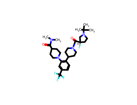 CN(C)C(=O)C1CCN(c2cc(C(F)(F)F)ccc2C2CCN(C(=O)[C@@]3(F)CCN(C(C)(C)C)C3)CC2)CC1